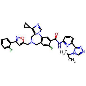 CC(C)n1cnnc1-c1cccc(NC(=O)c2cc3c(cc2F)CN(Cc2cc(-c4ccccc4F)no2)Cc2c(C4CC4)ncn2-3)n1